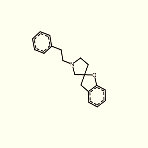 c1ccc(CCN2CCC3(Cc4ccccc4O3)C2)cc1